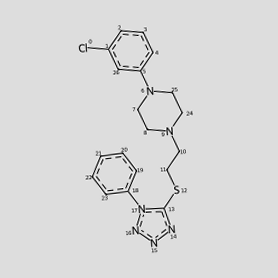 Clc1cccc(N2CCN(CCSc3nnnn3-c3ccccc3)CC2)c1